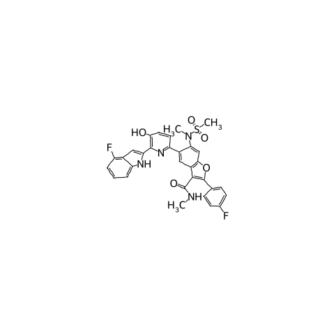 CNC(=O)c1c(-c2ccc(F)cc2)oc2cc(N(C)S(C)(=O)=O)c(-c3ccc(O)c(-c4cc5c(F)cccc5[nH]4)n3)cc12